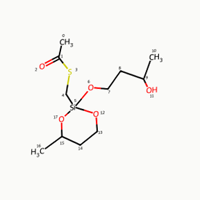 CC(=O)SC[Si]1(OCCC(C)O)OCCC(C)O1